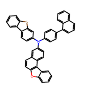 c1ccc2c(-c3ccc(N(c4ccc5c(ccc6oc7ccccc7c65)c4)c4ccc5c(c4)sc4ccccc45)cc3)cccc2c1